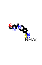 CC(=O)Nc1nnc(-c2ccc3c(c2)CCN(C(C)c2cnc4c(c2)OCC4)CC3)s1